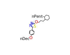 CCCCCCCCCCOc1ccc(-c2nnc(OCCCC3CCCCC3CCCCC)s2)cc1